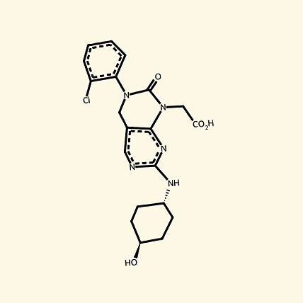 O=C(O)CN1C(=O)N(c2ccccc2Cl)Cc2cnc(N[C@H]3CC[C@H](O)CC3)nc21